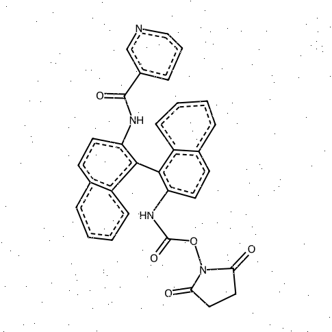 O=C(Nc1ccc2ccccc2c1-c1c(NC(=O)c2cccnc2)ccc2ccccc12)ON1C(=O)CCC1=O